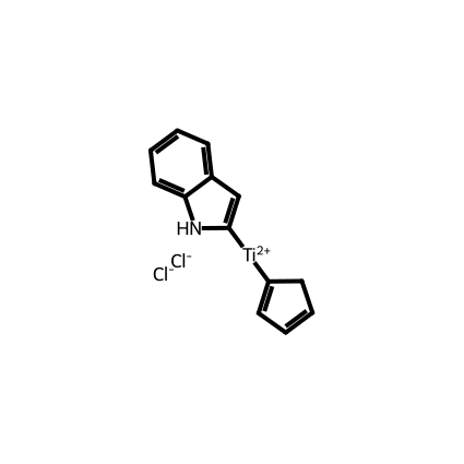 C1=CC[C]([Ti+2][c]2cc3ccccc3[nH]2)=C1.[Cl-].[Cl-]